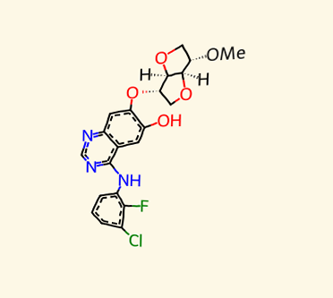 CO[C@H]1CO[C@H]2[C@@H]1OC[C@@H]2Oc1cc2ncnc(Nc3cccc(Cl)c3F)c2cc1O